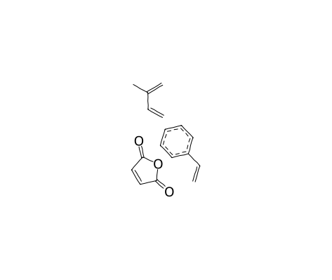 C=CC(=C)C.C=Cc1ccccc1.O=C1C=CC(=O)O1